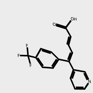 O=C(O)/C=C/C=C(\c1ccc(C(F)(F)F)cc1)c1cccnc1